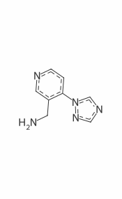 NCc1cnccc1-n1cncn1